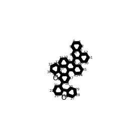 c1ccc2c(c1)cc(-c1c3ccccc3c(-c3ccc(-c4cccc5oc6ccccc6c45)c4oc5ccccc5c34)c3ccccc13)c1ccccc12